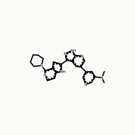 CN(C)c1cncc(-c2cnc3[nH]nc(-c4cc5c(N6CCCCC6)nccc5[nH]4)c3c2)c1